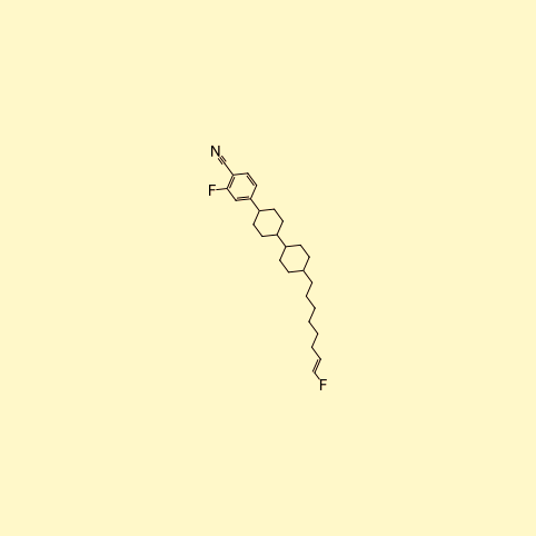 N#Cc1ccc(C2CCC(C3CCC(CCCCCCC=CF)CC3)CC2)cc1F